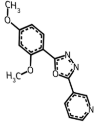 COc1ccc(-c2nnc(-c3cccnc3)o2)c(OC)c1